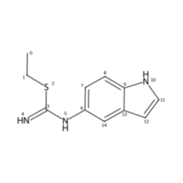 CCSC(=N)Nc1ccc2[nH]ccc2c1